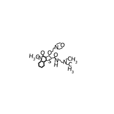 CCN(CC)CCNC(=O)C1Sc2c(c(=O)n(C)c3ccccc23)C1OCCN1CCOCC1